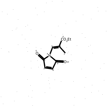 CCOC(=O)C(C)=CN1C(=O)C=CC1=O